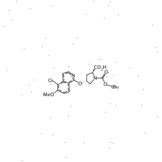 COc1ccc2c(O[C@@H]3C[C@@H](C(=O)O)N(C(=O)OC(C)(C)C)C3)nccc2c1Cl